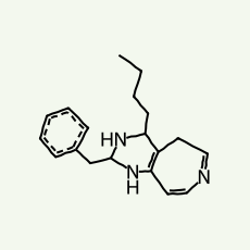 CCCCC1NC(Cc2ccccc2)NC2=C1CC=NC=C2